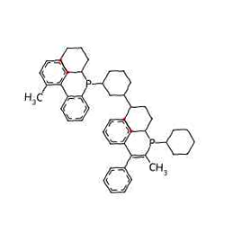 CC(=C(c1ccccc1)c1ccccc1)P(C1CCCCC1)C1CCC(C2CCCC(P(c3ccccc3-c3ccccc3C)C3CCCCC3)C2)CC1